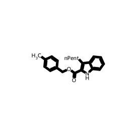 CCCCCc1c(C(=O)OCc2ccc(C)cc2)[nH]c2ccccc12